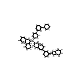 c1ccc(-c2cccc(-c3ccc(N(c4ccc5cc(-c6cccc(-c7cc8ccccc8o7)c6)ccc5c4)c4cc5ccccc5c5ccccc45)cc3)c2)cc1